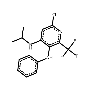 CC(C)Nc1cc(Cl)nc(C(F)(F)F)c1Nc1ccccc1